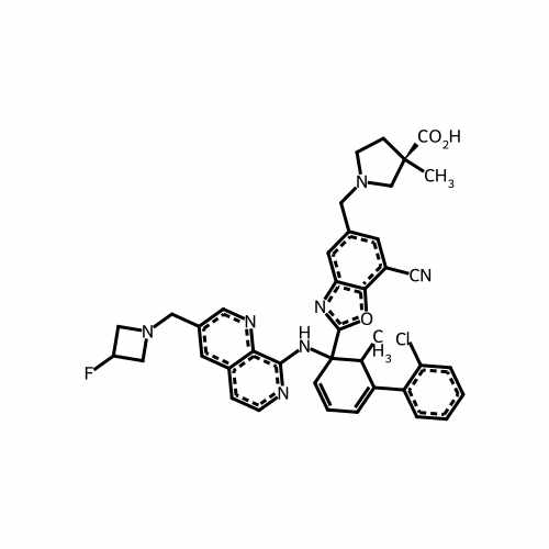 CC1C(c2ccccc2Cl)=CC=CC1(Nc1nccc2cc(CN3CC(F)C3)cnc12)c1nc2cc(CN3CC[C@@](C)(C(=O)O)C3)cc(C#N)c2o1